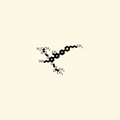 C=C(C)C(=O)OCCOc1cc(-c2ccc(-c3ccc(C4CCC(CCCCC)CC4)cc3)cc2CC)cc(OCCOC(=O)C(=C)C)c1CCCO